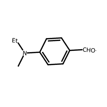 CCN(C)c1ccc([C]=O)cc1